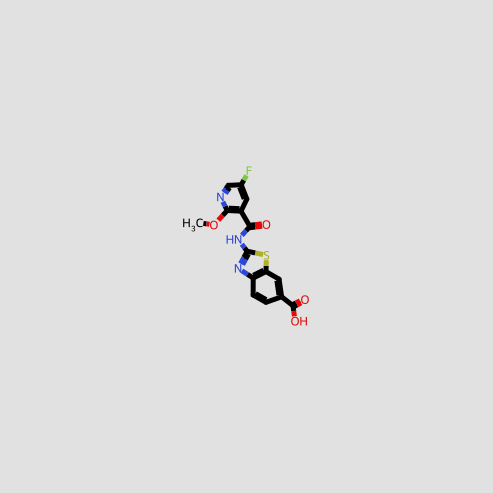 COc1ncc(F)cc1C(=O)Nc1nc2ccc(C(=O)O)cc2s1